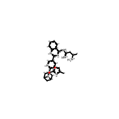 Cc1csc(CN2C3CC2CN(c2ccc(-c4nc(NC(=N)CC(C)N)c5ccccc5n4)cn2)C3)n1